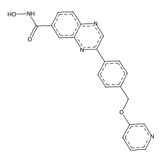 O=C(NO)c1ccc2ncc(-c3ccc(COc4cccnc4)cc3)nc2c1